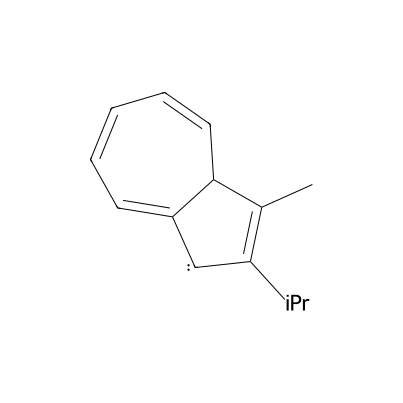 CC1=C(C(C)C)[C]C2=CC=CC=CC21